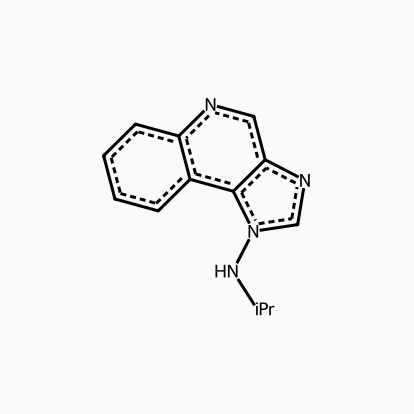 CC(C)Nn1cnc2cnc3ccccc3c21